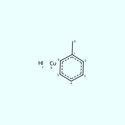 Cc1ccccc1.I.[Cu]